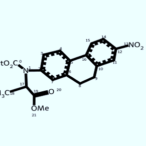 CCOC(=O)N(c1ccc2c(c1)CCc1cc([N+](=O)[O-])ccc1-2)C(C)C(=O)OC